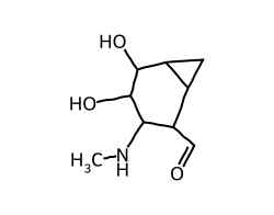 CNC1C(O)C(O)C2CC2C1C=O